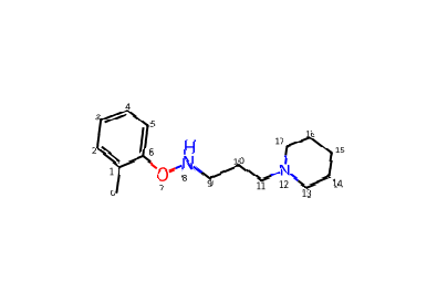 Cc1ccccc1ONCCCN1CCCCC1